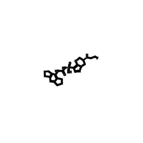 N=[S@](=O)(NC(=O)Nc1c2c(cc3c1CCC3)CCC2)c1cnn2c1OC[C@@H](NCCF)C2